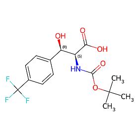 CC(C)(C)OC(=O)N[C@H](C(=O)O)[C@H](O)c1ccc(C(F)(F)F)cc1